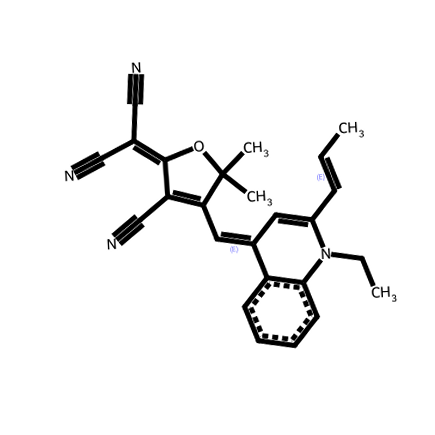 C/C=C/C1=CC(=C\C2=C(C#N)C(=C(C#N)C#N)OC2(C)C)/c2ccccc2N1CC